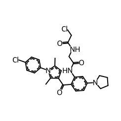 Cc1cc(C(=O)c2ccc(N3CCCC3)cc2NC(=O)CNC(=O)CCl)c(C)n1-c1ccc(Cl)cc1